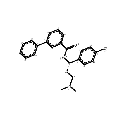 CN(C)CC[C@H](NC(=O)c1cccc(-c2ccccc2)c1)c1ccc(Cl)cc1